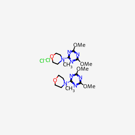 COc1nc(OC)nc([N+]2(C)CCOCC2)n1.COc1nc(OC)nc([N+]2(C)CCOCC2)n1.[Cl-].[Cl-]